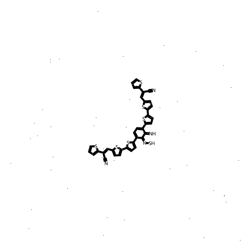 N#C/C(=C\c1ccc(-c2ccc(C3=CC=C(c4ccc(-c5ccc(/C=C(\C#N)c6cccs6)s5)s4)/C(=N/S)C3=N)s2)s1)c1cccs1